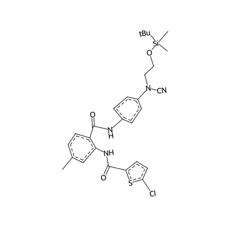 Cc1ccc(C(=O)Nc2ccc(N(C#N)CCO[Si](C)(C)C(C)(C)C)cc2)c(NC(=O)c2ccc(Cl)s2)c1